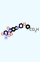 O=C1CCC(N2C(=O)c3cc4c(cc3C2=O)CN([C@H]2CC[C@H](Oc3ccc(C(=O)O)cc3)CC2)C4)C(=O)N1